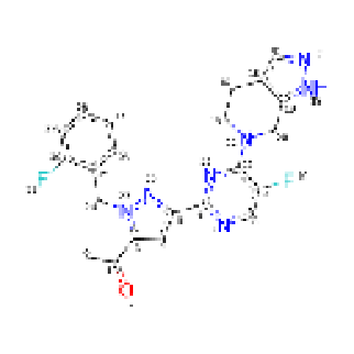 CC(=O)c1cc(-c2ncc(F)c(N3CCc4cn[nH]c4C3)n2)nn1Cc1ccccc1F